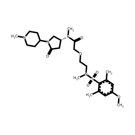 COc1cc(C)c(S(=O)(=O)N(C)CCOCC(=O)N(C)[C@@H]2CC(=O)N(C3CCN(C)CC3)C2)c(C)c1